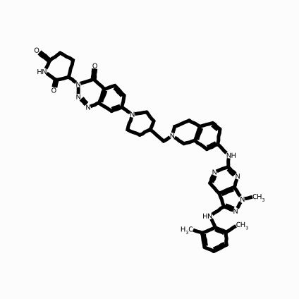 Cc1cccc(C)c1Nc1nn(C)c2nc(Nc3ccc4c(c3)CN(CC3CCN(c5ccc6c(=O)n(C7CCC(=O)NC7=O)nnc6c5)CC3)CC4)ncc12